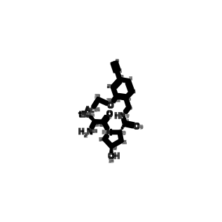 C#Cc1ccc(CNC(=O)[C@@H]2C[C@@H](O)CN2C(=O)[C@@H](N)C(C)(C)C)c(OCC(C)=O)c1